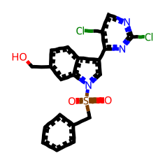 O=S(=O)(Cc1ccccc1)n1cc(-c2nc(Cl)ncc2Cl)c2ccc(CO)cc21